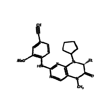 C#Cc1ccc(Nc2ncc3c(n2)N(C2CCCC2)[C@H](CC)C(=O)N3C)c(OC)c1